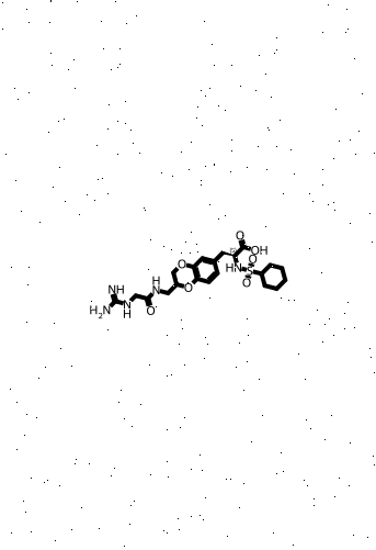 N=C(N)NCC(=O)NCC1COc2cc(C[C@H](NS(=O)(=O)C3CCCCC3)C(=O)O)ccc2O1